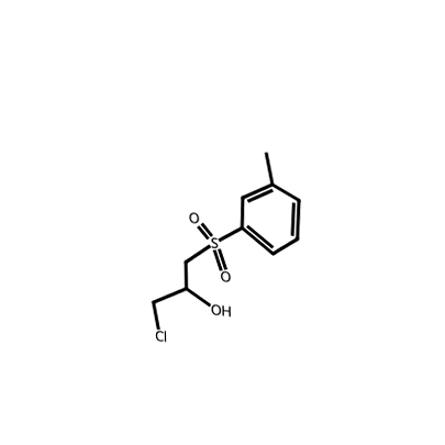 Cc1cccc(S(=O)(=O)CC(O)CCl)c1